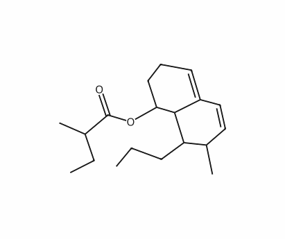 CCCC1C(C)C=CC2=CCCC(OC(=O)C(C)CC)C21